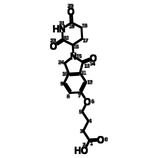 O=C(O)CCCOc1ccc2c(c1)C(=O)N(C1CCC(=O)NC1=O)C2